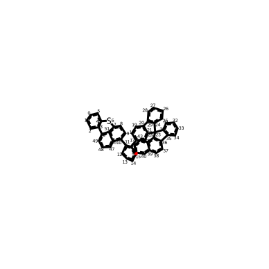 c1ccc2c(c1)Sc1ccc(-c3ccccc3-c3ccc4c(c3)C3(c5ccccc5-4)c4ccccc4-c4ccc5ccccc5c43)c3cccc-2c13